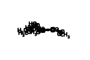 CC(C)(C)OC(=O)NC(C)(C)[C@H](CNC(=O)c1ccc(C#Cc2ccc(OCCS(C)(=O)=O)cc2)cc1)C(=O)O